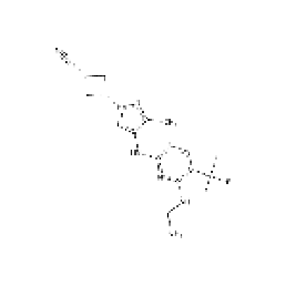 CCNc1nc(Nc2cn([C@H]3C[C@@H](C#N)C3)nc2C)ncc1C(F)(F)F